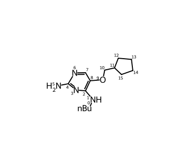 CCCCNc1nc(N)ncc1OCC1CCCC1